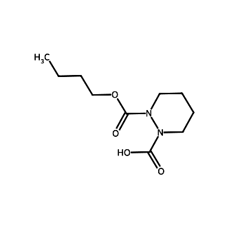 CCCCOC(=O)N1CCCCN1C(=O)O